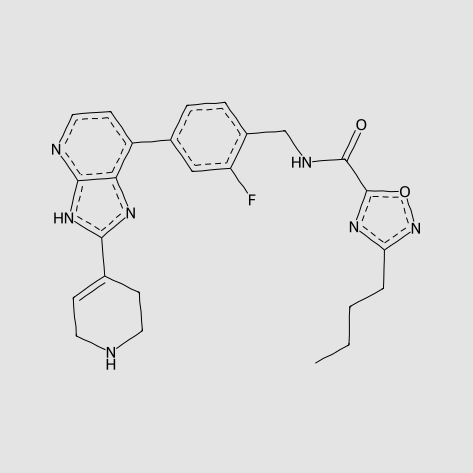 CCCCc1noc(C(=O)NCc2ccc(-c3ccnc4[nH]c(C5=CCNCC5)nc34)cc2F)n1